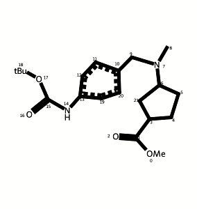 COC(=O)C1CCC(N(C)Cc2ccc(NC(=O)OC(C)(C)C)cc2)C1